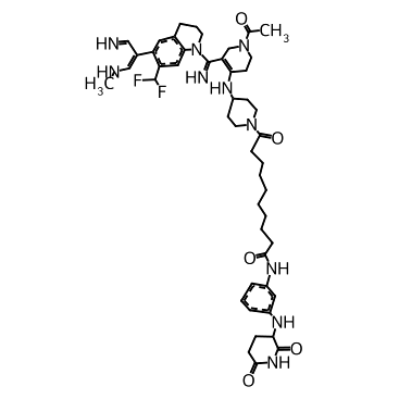 CN/C=C(\C=N)c1cc2c(cc1C(F)F)N(C(=N)C1=C(NC3CCN(C(=O)CCCCCCCCC(=O)Nc4cccc(NC5CCC(=O)NC5=O)c4)CC3)CCN(C(C)=O)C1)CCC2